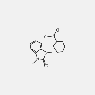 ClN(Cl)C1CCCCC1.Cn1[c](=[Pt])n(C)c2ccccc21